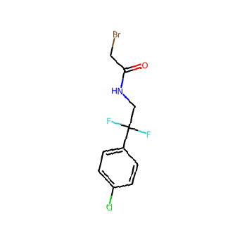 O=C(CBr)NCC(F)(F)c1ccc(Cl)cc1